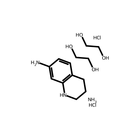 Cl.Cl.N.Nc1ccc2c(c1)NCCC2.OCCO.OCCO